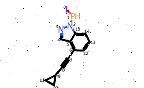 IPn1ncc2c(C#CC3CC3)cccc21